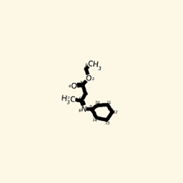 CCOC(=O)CC(C)=NC1CCCCC1